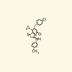 Cc1ccc(N[C@H]2CC(=S)c3c(C4CC4)c(Cc4ccc(Cl)cc4)cc(=O)n32)cc1